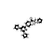 O=C(NC[C@@H]1CCCN1)N1CCN(c2cc(N3CCCC3)nc(N3CCCC3)n2)CC1